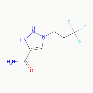 NC(=O)C1=CN(CCC(F)(F)F)NN1